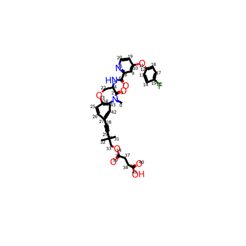 CN1C(=O)C(NC(=O)c2cc(Oc3ccc(F)cc3)ccn2)COc2ccc(C#CC(C)(C)COC(=O)CCC(=O)O)cc21